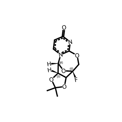 CC1(C)OC2[C@H](O1)[C@H]1O[C@]2(F)COc2nc(=O)ccn21